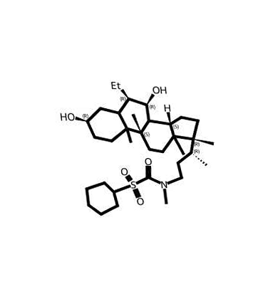 CC[C@@H]1C2C[C@H](O)CCC2(C)[C@@]2(C)CCC3(C)[C@@H](CC[C@]3(C)[C@H](C)CCN(C)C(=O)S(=O)(=O)C3CCCCC3)C2[C@@H]1O